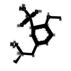 COc1ccc(C[C@H](C)N)cc1S(=O)(=O)O